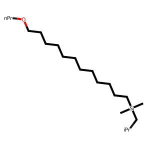 CCCOCCCCCCCCCCCC[Si](C)(C)CC(C)C